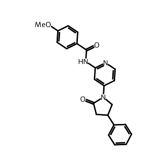 COc1ccc(C(=O)Nc2cc(N3CC(c4ccccc4)CC3=O)ccn2)cc1